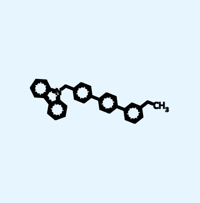 CCc1cccc(-c2ccc(-c3ccc(Cn4c5ccccc5c5ccccc54)cc3)cc2)c1